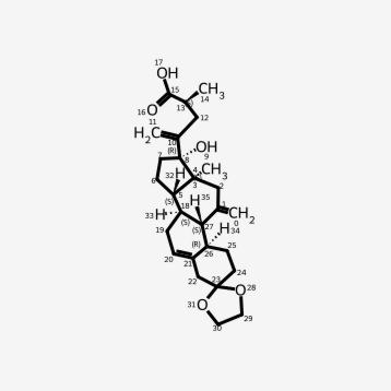 C=C1C[C@@]2(C)[C@@H](CC[C@@]2(O)C(=C)C[C@H](C)C(=O)O)[C@@H]2CC=C3CC4(CC[C@@H]3[C@@H]12)OCCO4